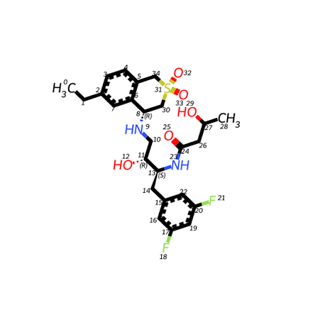 CCc1ccc2c(c1)[C@@H](NC[C@@H](O)[C@H](Cc1cc(F)cc(F)c1)NC(=O)CC(C)O)CS(=O)(=O)C2